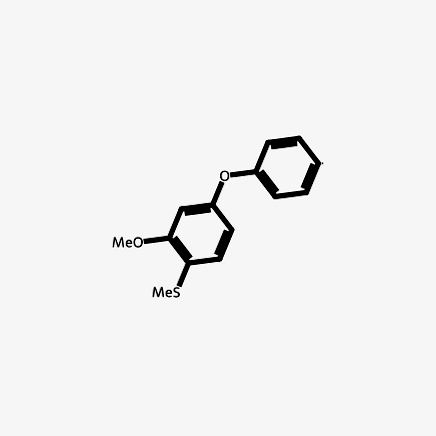 COc1cc(Oc2cc[c]cc2)ccc1SC